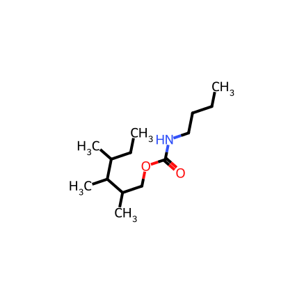 CCCCNC(=O)OCC(C)C(C)C(C)CC